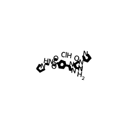 Cl.Nc1ncc(-c2ccc(S(=O)(=O)NCCN3CCCC3)cc2)nc1C(=O)Nc1cccnc1